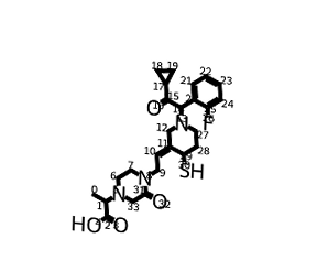 CC(C(=O)O)N1CCN(C/C=C2/CN(C(C(=O)C3CC3)c3ccccc3F)CCC2S)C(=O)C1